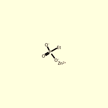 CCP(=O)([O-])[O-].[Zn+2]